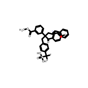 COC(=O)c1cccc(C(C/C=C/c2ccccc2)(Cc2ccc(C(F)(F)P(=O)(O)O)cc2)C(=O)c2ccc(F)cc2)c1